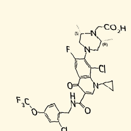 C[C@@H]1CN(c2c(F)cc3c(=O)c(C(=O)NCc4ccc(OC(F)(F)F)cc4Cl)cn(C4CC4)c3c2Cl)C[C@H](C)N1CC(=O)O